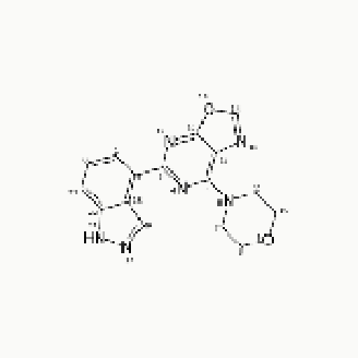 c1cc(-c2nc(N3CCOCC3)c3ncoc3n2)c2cn[nH]c2c1